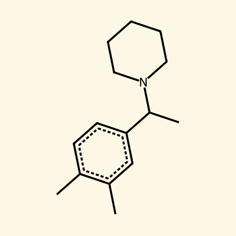 Cc1ccc(C(C)N2CCCCC2)cc1C